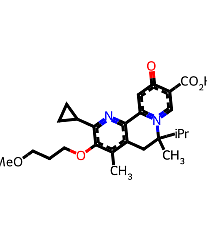 COCCCOc1c(C2CC2)nc2c(c1C)CC(C)(C(C)C)n1cc(C(=O)O)c(=O)cc1-2